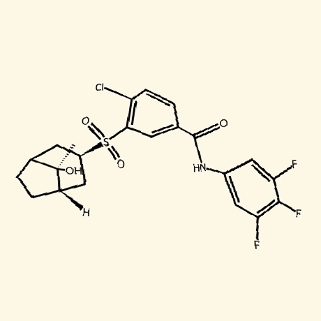 C[C@@]1(O)C2CC[C@H]1C[C@H](S(=O)(=O)c1cc(C(=O)Nc3cc(F)c(F)c(F)c3)ccc1Cl)C2